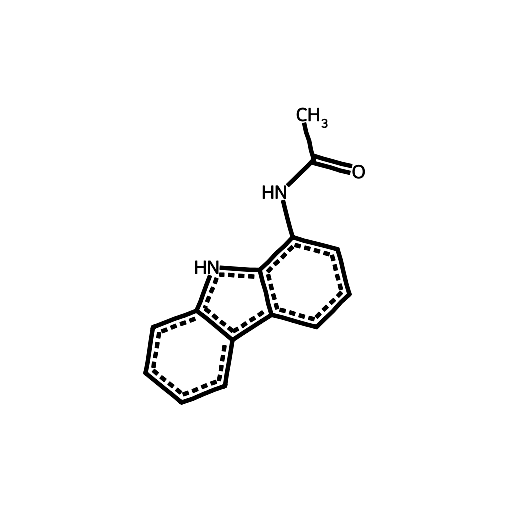 CC(=O)Nc1cccc2c1[nH]c1ccccc12